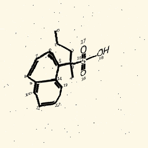 CCCC(C)(c1cccc2ccccc12)S(=O)(=O)O